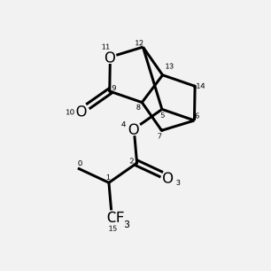 CC(C(=O)OC1C2CC3C(=O)OC1C3C2)C(F)(F)F